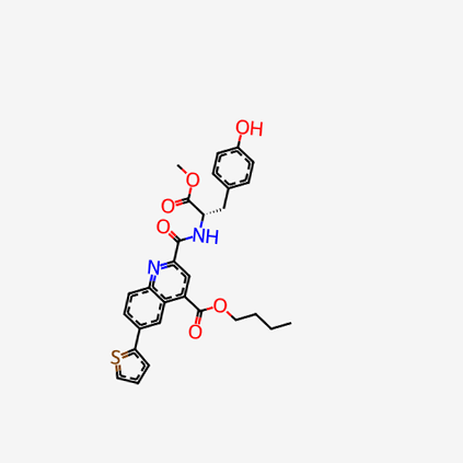 CCCCOC(=O)c1cc(C(=O)N[C@@H](Cc2ccc(O)cc2)C(=O)OC)nc2ccc(-c3cccs3)cc12